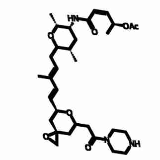 CC(=O)O[C@@H](C)/C=C\C(=O)N[C@@H]1C[C@H](C)C(C/C=C(C)/C=C/[C@@H]2C[C@]3(CO3)CC(CC(=O)N3CCNCC3)O2)O[C@@H]1C